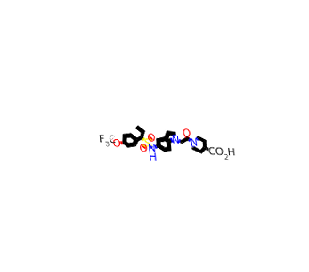 C=CC(c1ccc(OC(F)(F)F)cc1)S(=O)(=O)Nc1ccc2c(ccn2CC(=O)N2CCC(C(=O)O)CC2)c1